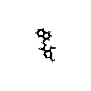 COc1cc(O)ccc1C(=O)CSc1ccnc2ccccc12